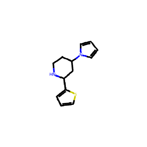 c1csc(C2CC(n3cccc3)CCN2)c1